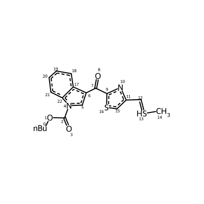 CCCCOC(=O)n1cc(C(=O)c2nc(C=[SH]C)cs2)c2ccccc21